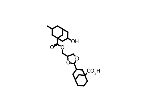 CC1CC2CC(O)CC(C(=O)OCC3COC(C4CC5CCCC(C(=O)O)(C5)C4)O3)(C1)C2